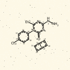 CCc1nc(NN)nc(=O)n1-c1ccc(Cl)cc1.c1cc2ccc1-2